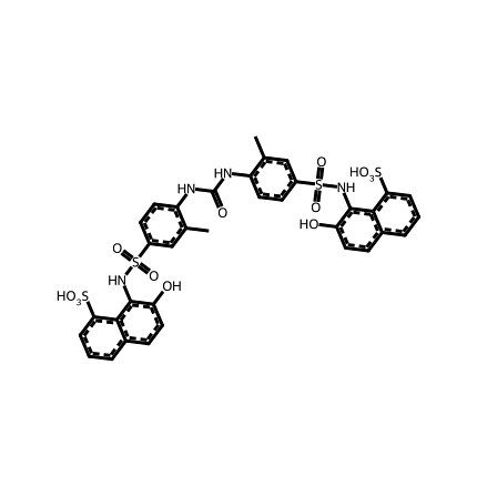 Cc1cc(S(=O)(=O)Nc2c(O)ccc3cccc(S(=O)(=O)O)c23)ccc1NC(=O)Nc1ccc(S(=O)(=O)Nc2c(O)ccc3cccc(S(=O)(=O)O)c23)cc1C